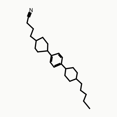 CCCCCC1CCC(c2ccc(C3CCC(CCCC#N)CC3)cc2)CC1